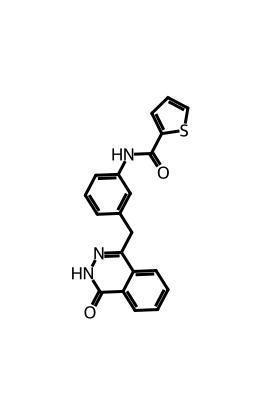 O=C(Nc1cccc(Cc2n[nH]c(=O)c3ccccc23)c1)c1cccs1